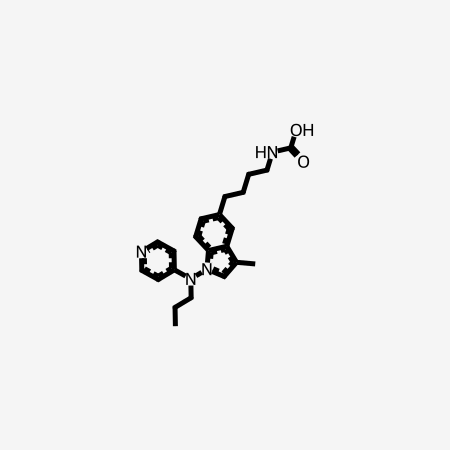 CCCN(c1ccncc1)n1cc(C)c2cc(CCCCNC(=O)O)ccc21